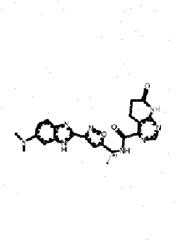 C[C@@H](NC(=O)c1ncnc2c1CCC(=O)N2)c1cc(-c2nc3ccc(N(C)C)cc3[nH]2)no1